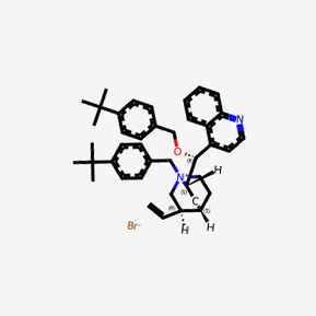 C=C[C@H]1C[N+]2(Cc3ccc(C(C)(C)C)cc3)CC[C@H]1C[C@H]2[C@H](OCc1ccc(C(C)(C)C)cc1)c1ccnc2ccccc12.[Br-]